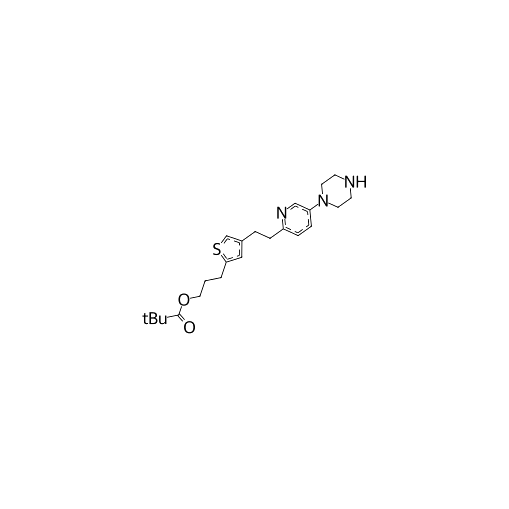 CC(C)(C)C(=O)OCCCc1cc(CCc2ccc(N3CCNCC3)cn2)cs1